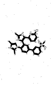 Cc1cn(-c2ccc(-c3cccc(S(C)(=O)=O)c3)cc2-c2nc(C)oc2-c2cccc(Cl)n2)c(C)n1